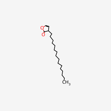 CCCCCCCCCCCCCCCCC1C=COC1=O